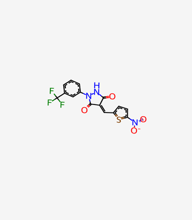 O=C1NN(c2cccc(C(F)(F)F)c2)C(=O)/C1=C/c1ccc([N+](=O)[O-])s1